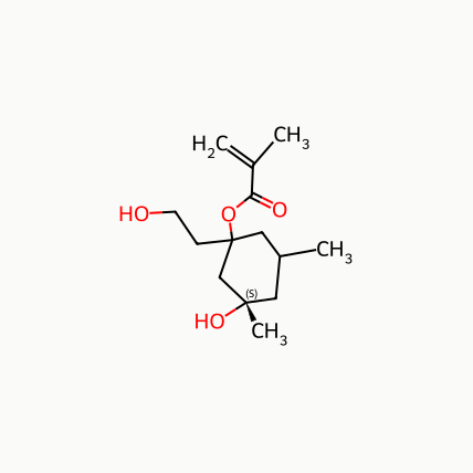 C=C(C)C(=O)OC1(CCO)CC(C)C[C@](C)(O)C1